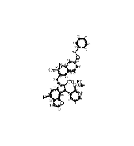 CCOC(=O)c1c(-c2cccnc2OC)c2c3occc3c(F)cc2n1Cc1cc2ccc(OCc3ccccc3)cc2nc1Cl